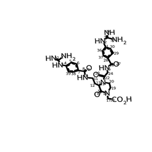 N=C(N)Nc1ccc(C(=O)NCCC2C(=O)N(CC(=O)O)CCN2C(=O)CNC(=O)c2ccc(NC(=N)N)cc2)cc1